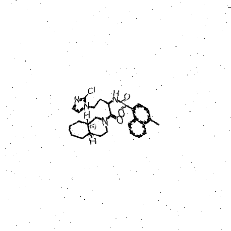 Cc1ccc(S(=O)(=O)NC(CCn2ccnc2Cl)C(=O)N2CC[C@@H]3CCCC[C@@H]3C2)c2ccccc12